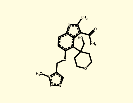 Cc1oc2ccc(OCc3cnnn3C)c(C3(CO)CCOCC3)c2c1C(N)=O